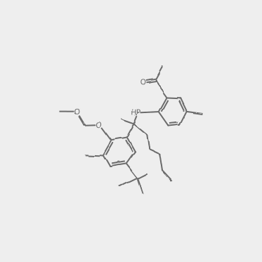 CCCCCC(C)(Pc1ccc(C)cc1C(C)=O)c1cc(C(C)(C)C)cc(C)c1OCOC